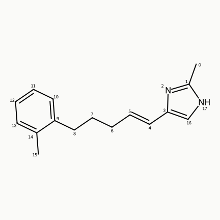 Cc1nc(C=CCCCc2ccccc2C)c[nH]1